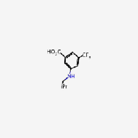 CC(C)CNc1cc(C(=O)O)cc(C(F)(F)F)c1